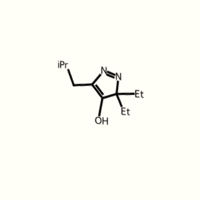 CCC1(CC)N=NC(CC(C)C)=C1O